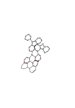 C1=Cc2cccc(-c3ccccc3N(c3ccc4c(c3)c3ccccc3n4-c3ccccc3)c3ccccc3-c3cccc4oc5ccccc5c34)c2C(C2CCCCC2)C1